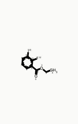 O=C(OC[SiH3])c1cccc(I)c1F